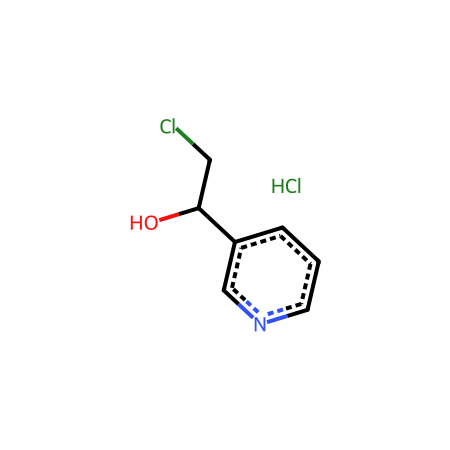 Cl.OC(CCl)c1cccnc1